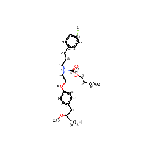 CCOC(Cc1ccc(OCCN(CCCc2ccc(F)cc2)C(=O)OCCOC)cc1)C(=O)O